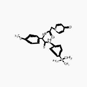 COc1ccc(C(NC(=O)Cn2ccc(=O)cc2)C(=O)Nc2ccc(S(C)(C)C)cc2)cc1